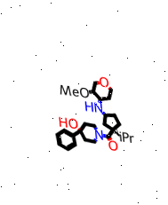 COC1COCCC1NC1CC[C@@](C(=O)N2CCC(O)(c3ccccc3)CC2)(C(C)C)C1